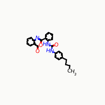 CCCCc1ccc(NC(=O)Nc2ccccc2-c2nc3ccccc3c(=O)o2)cc1